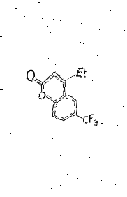 CCc1cc(=O)oc2ccc(C(F)(F)F)cc12